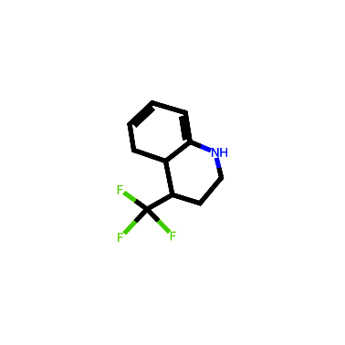 FC(F)(F)C1CCNC2=CC=CCC21